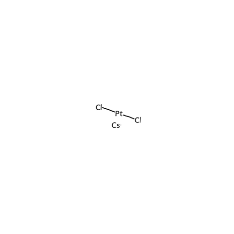 [Cl][Pt][Cl].[Cs]